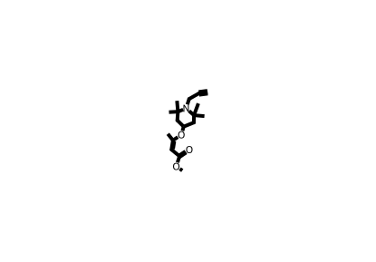 C#CCN1C(C)(C)CC(O/C(C)=C\C(=O)OC)CC1(C)C